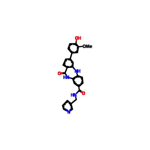 COc1cc(-c2ccc3c(c2)Nc2ccc(C(=O)NCc4cccnc4)cc2NC3=O)ccc1O